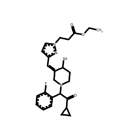 CCOC(=O)CCn1ccc(C=C2CN(C(C(=O)C3CC3)c3ccccc3F)CCC2S)n1